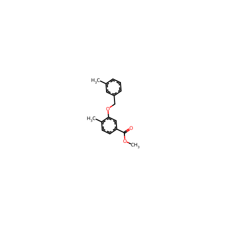 COC(=O)c1ccc(C)c(OCc2cccc(C)c2)c1